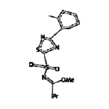 CO/C(=N\S(=O)(=O)c1nc(-c2ccccc2C)ns1)C(C)C